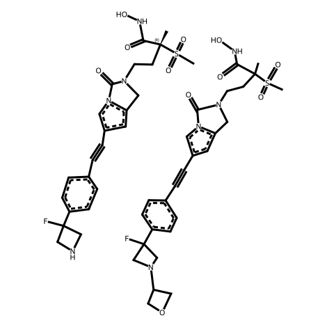 CC(CCN1Cc2cc(C#Cc3ccc(C4(F)CN(C5COC5)C4)cc3)cn2C1=O)(C(=O)NO)S(C)(=O)=O.C[C@@](CCN1Cc2cc(C#Cc3ccc(C4(F)CNC4)cc3)cn2C1=O)(C(=O)NO)S(C)(=O)=O